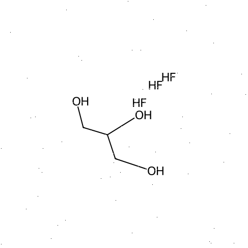 F.F.F.OCC(O)CO